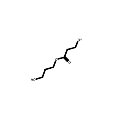 O=C(CCS)OCCCO